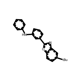 CC(C)(C)c1ccc2oc(-c3cccc(Nc4ccccc4)c3)nc2c1